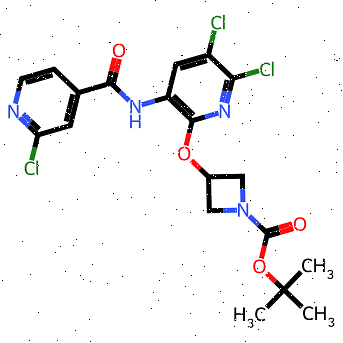 CC(C)(C)OC(=O)N1CC(Oc2nc(Cl)c(Cl)cc2NC(=O)c2ccnc(Cl)c2)C1